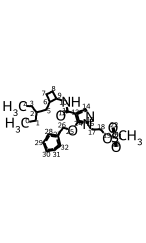 CCC(CC)CC1CCC1NC(=O)c1cnn(CCOS(C)(=O)=O)c1OCc1ccccc1